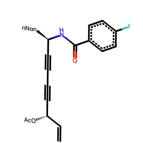 C=C[C@@H](C#CC#C[C@@H](CCCCCCCCC)NC(=O)c1ccc(F)cc1)OC(C)=O